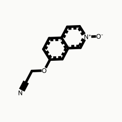 N#CCOc1ccc2cc[n+]([O-])cc2c1